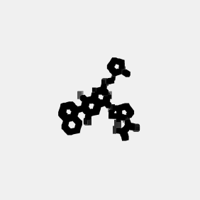 C=C(F)C(=O)N1CCC2[C@H]1CN2c1nc(OC[C@@H]2CCCN2C)nc2c(F)c(-c3cccc4c3CCCC4)c(Cl)cc12